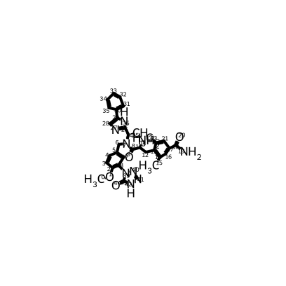 COc1ccc(CN(C(=O)[C@@H](N)Cc2c(C)cc(C(N)=O)cc2C)[C@@H](C)c2ncc(-c3ccccc3)[nH]2)cc1-n1nn[nH]c1=O